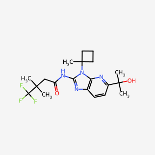 CC(C)(O)c1ccc2nc(NC(=O)CC(C)(C)C(F)(F)F)n(C3(C)CCC3)c2n1